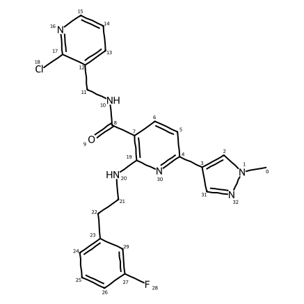 Cn1cc(-c2ccc(C(=O)NCc3cccnc3Cl)c(NCCc3cccc(F)c3)n2)cn1